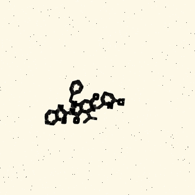 CC(C)c1c2c(=O)n(-c3nc4ccccc4s3)n(Cc3ccccc3)c2cc(=O)n1Cc1cccc(Cl)n1